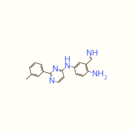 Cc1cccc(-c2nccc(Nc3ccc(N)c(C=N)c3)n2)c1